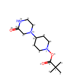 CC(C)(C)C(=O)ON1CCC(N2CCNC(=O)C2)CC1